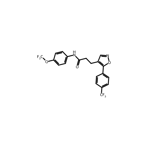 O=C(CCc1cnoc1-c1ccc(C(F)(F)F)cc1)Nc1ccc(OC(F)(F)F)cc1